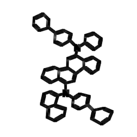 c1ccc(-c2ccc(N(c3ccccc3)c3cc4c5ccccc5c(N(c5ccc(-c6ccccc6)cc5)c5cccc6ccccc56)cc4c4ccccc34)cc2)cc1